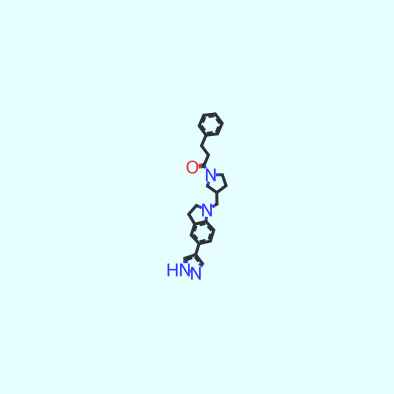 O=C(CCc1ccccc1)N1CCC(CN2CCc3cc(-c4cn[nH]c4)ccc32)C1